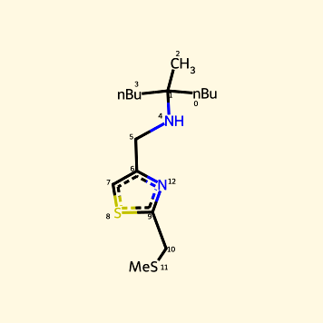 CCCCC(C)(CCCC)NCc1csc(CSC)n1